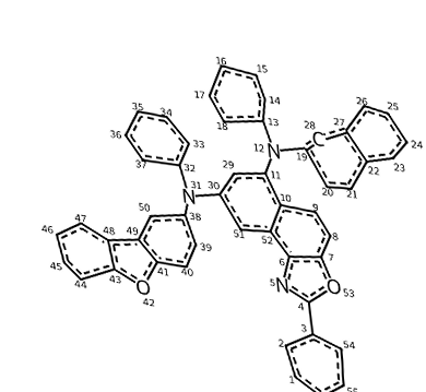 c1ccc(-c2nc3c(ccc4c(N(c5ccccc5)c5ccc6ccccc6c5)cc(N(c5ccccc5)c5ccc6oc7ccccc7c6c5)cc43)o2)cc1